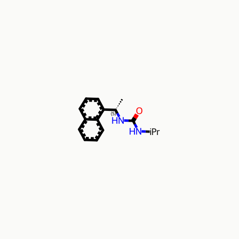 CC(C)NC(=O)N[C@@H](C)c1cccc2ccccc12